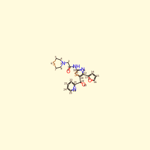 O=C(CN1CCSCC1)Nc1nc(-c2ccco2)c(C(=O)c2ccccn2)s1